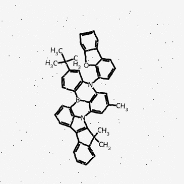 Cc1cc2c3c(c1)-n1c4c(c5cccc(c51)B3c1ccc(C(C)(C)C)cc1N2c1cccc2c1oc1ccccc12)-c1ccccc1C4(C)C